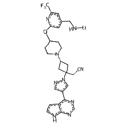 CCNCc1cc(OC2CCN(C3CC(CC#N)(n4cc(-c5ncnc6[nH]ccc56)cn4)C3)CC2)nc(C(F)(F)F)c1